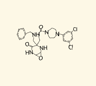 O=C(CCC1(CNCc2ccccc2)NC2OC2NC1=O)N1CCN(c2cc(Cl)cc(Cl)c2)CC1